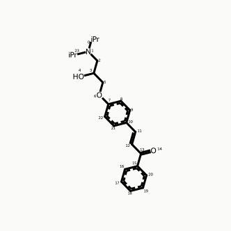 CC(C)N(CC(O)COc1ccc(/C=C/C(=O)c2ccccc2)cc1)C(C)C